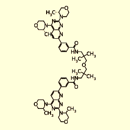 C[C@@H]1COCCN1c1nc(N2CCOC[C@H]2C)c2ccc(-c3cccc(C(=O)NCC(C)(C)COCC(C)(C)CNC(=O)c4cccc(-c5ccc6c(N7CCOC[C@@H]7C)nc(N7CCOC[C@@H]7C)nc6n5)c4)c3)nc2n1